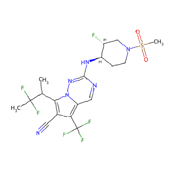 CC(c1c(C#N)c(C(F)(F)F)c2cnc(N[C@@H]3CCN(S(C)(=O)=O)C[C@H]3F)nn12)C(C)(F)F